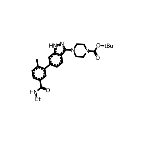 CCNC(=O)c1ccc(C)c(-c2ccc3c(N4CCN(C(=O)OC(C)(C)C)CC4)n[nH]c3c2)c1